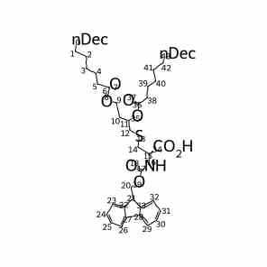 CCCCCCCCCCCCCCCC(=O)OCCC(CSC[C@H](NC(=O)OCC1c2ccccc2-c2ccccc21)C(=O)O)OC(=O)CCCCCCCCCCCCCCC